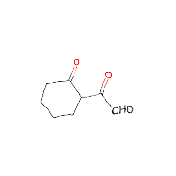 O=CC(=O)C1CCCCC1=O